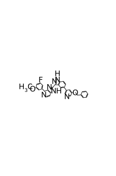 COc1cc(F)cc(-c2nccc3[nH]c(-c4n[nH]c5ccc(-c6cncc(OCc7ccccc7)c6)cc45)nc23)c1